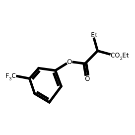 CCOC(=O)C(CC)C(=O)Oc1cccc(C(F)(F)F)c1